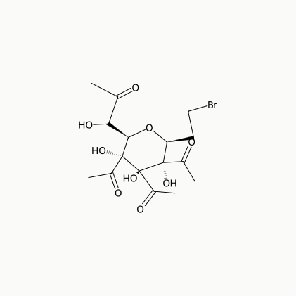 CC(=O)C(O)[C@H]1O[C@@H](CCBr)[C@@](O)(C(C)=O)[C@](O)(C(C)=O)[C@@]1(O)C(C)=O